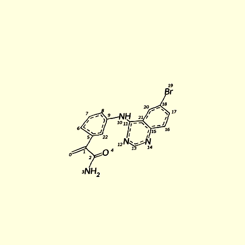 C=C(C(N)=O)c1cccc(Nc2ncnc3ccc(Br)cc23)c1